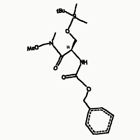 CON(C)C(=O)[C@@H](CO[Si](C)(C)C(C)(C)C)NC(=O)OCc1ccccc1